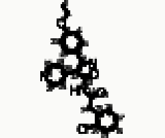 CCOc1ccc(-c2noc(NC(=O)Cc3ccccc3Cl)c2-c2ccncc2)cc1